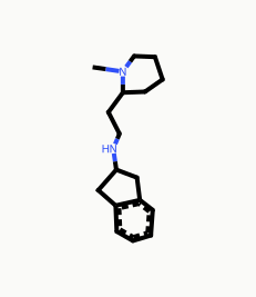 CN1CCCCC1CCNC1Cc2ccccc2C1